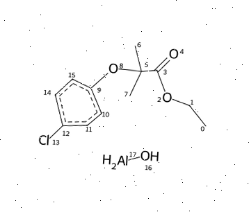 CCOC(=O)C(C)(C)Oc1ccc(Cl)cc1.[OH][AlH2]